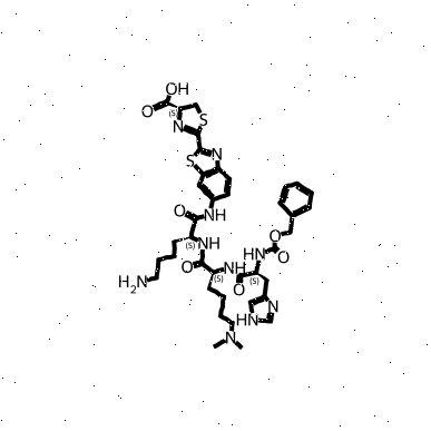 CN(C)CCCC[C@H](NC(=O)[C@H](Cc1c[nH]cn1)NC(=O)OCc1ccccc1)C(=O)N[C@@H](CCCCN)C(=O)Nc1ccc2nc(C3=N[C@@H](C(=O)O)CS3)sc2c1